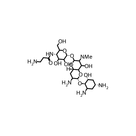 CNC1C(O[C@H]2OC(CO)[C@@H](NC(=O)CCN)C(O)C2O)O[C@H]2CC(N)[C@@H](O[C@@H]3C(N)C[C@@H](N)C[C@H]3O)OC2C1O